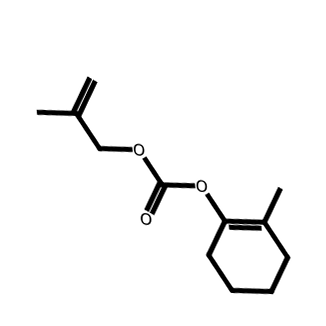 C=C(C)COC(=O)OC1=C(C)CCCC1